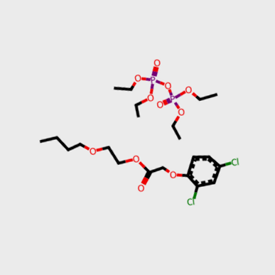 CCCCOCCOC(=O)COc1ccc(Cl)cc1Cl.CCOP(=O)(OCC)OP(=O)(OCC)OCC